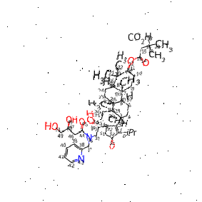 CC(C)C1=C2[C@H]3CC[C@@H]4[C@@]5(C)CC[C@H](OC(=O)CC(C)(C)C(=O)O)C(C)(C)[C@@H]5CC[C@@]4(C)[C@]3(C)CC[C@@]2([C@@H](O)CN(Cc2ccccn2)C(=O)C[C@H](O)CO)CC1=O